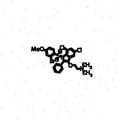 COc1ccc(S(=O)(=O)n2c(-c3ccccc3)c(OCCN(C)C)c3cc(Cl)cc(Cl)c32)c(Br)c1